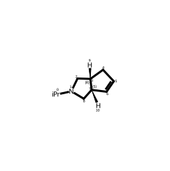 CC(C)N1C[C@@H]2CC=C[C@@H]2C1